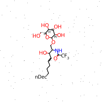 CCCCCCCCCCCCCC=CC(O)C(COC1O[C@H](CO)[C@@H](O)[C@H](O)[C@H]1O)NC(=O)C(F)(F)F